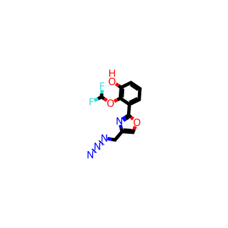 [N-]=[N+]=NCc1coc(-c2cccc(O)c2OC(F)F)n1